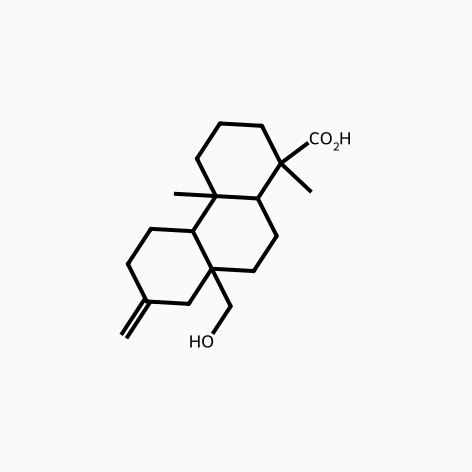 C=C1CCC2C(CO)(CCC3C(C)(C(=O)O)CCCC23C)C1